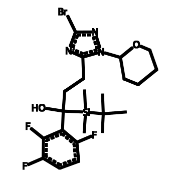 CC(C)(C)[Si](C)(C)C(O)(CCc1nc(Br)nn1C1CCCCO1)c1c(F)ccc(F)c1F